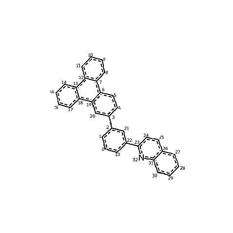 c1cc(-c2ccc3c4ccccc4c4ccccc4c3c2)cc(-c2ccc3ccccc3n2)c1